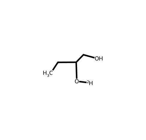 [2H]OC(CC)CO